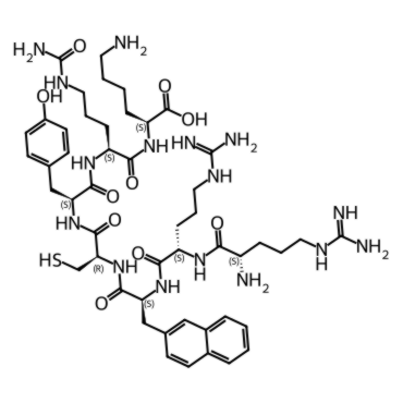 N=C(N)NCCC[C@H](NC(=O)[C@@H](N)CCCNC(=N)N)C(=O)N[C@@H](Cc1ccc2ccccc2c1)C(=O)N[C@@H](CS)C(=O)N[C@@H](Cc1ccc(O)cc1)C(=O)N[C@@H](CCCNC(N)=O)C(=O)N[C@@H](CCCCN)C(=O)O